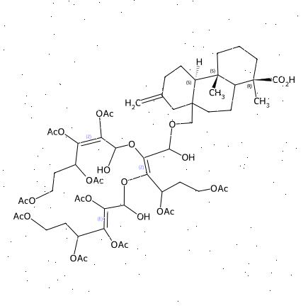 C=C1CC[C@@H]2C(COC(O)/C(OC(O)/C(OC(C)=O)=C(/OC(C)=O)C(CCOC(C)=O)OC(C)=O)=C(/OC(O)/C(OC(C)=O)=C(\OC(C)=O)C(CCOC(C)=O)OC(C)=O)C(CCOC(C)=O)OC(C)=O)(CCC3[C@](C)(C(=O)O)CCC[C@]32C)C1